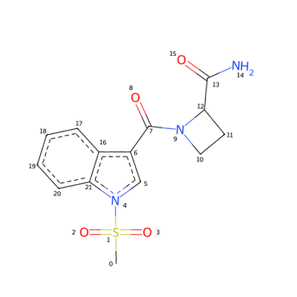 CS(=O)(=O)n1cc(C(=O)N2CCC2C(N)=O)c2ccccc21